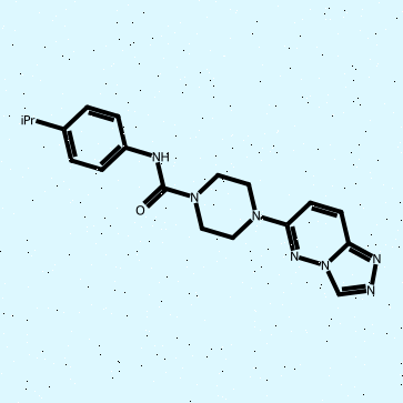 CC(C)c1ccc(NC(=O)N2CCN(c3ccc4nncn4n3)CC2)cc1